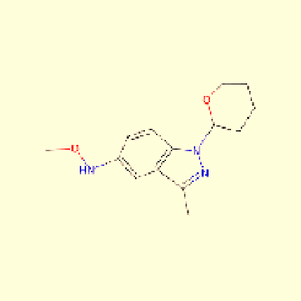 CONc1ccc2c(c1)c(C)nn2C1CCCCO1